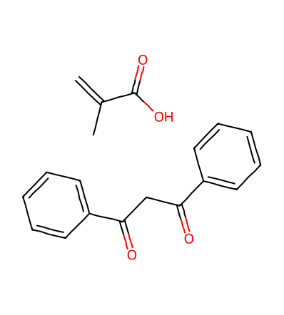 C=C(C)C(=O)O.O=C(CC(=O)c1ccccc1)c1ccccc1